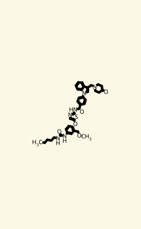 CCCCCNC(=O)Nc1ccc(Oc2cnc(NC(=O)c3ccc(-n4cc(CN5CCC(=O)CC5)c5ccccc54)cc3)s2)c(COC)c1